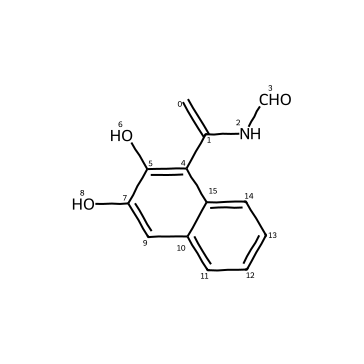 C=C(NC=O)c1c(O)c(O)cc2ccccc12